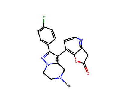 CC(=O)N1CCn2nc(-c3ccc(F)cc3)c(-c3ccnc4c3OC(=O)C4)c2C1